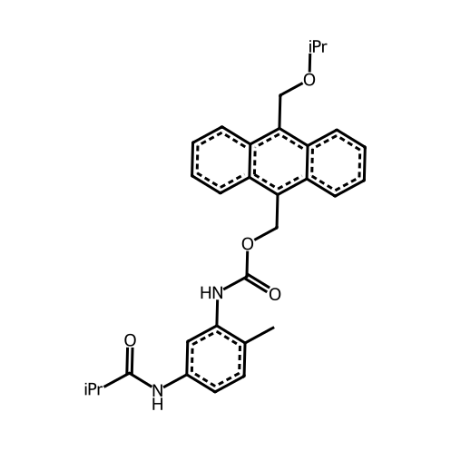 Cc1ccc(NC(=O)C(C)C)cc1NC(=O)OCc1c2ccccc2c(COC(C)C)c2ccccc12